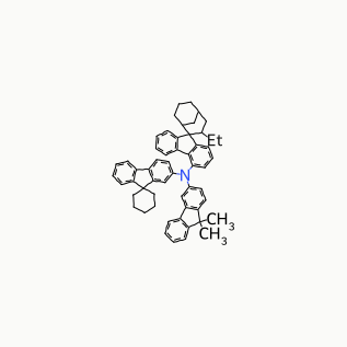 CCC1CC2CCCC(C2)C12c1ccccc1-c1c(N(c3ccc4c(c3)-c3ccccc3C4(C)C)c3ccc4c(c3)C3(CCCCC3)c3ccccc3-4)cccc12